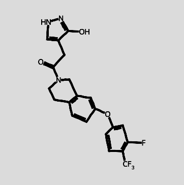 O=C(Cc1c[nH]nc1O)N1CCc2ccc(Oc3ccc(C(F)(F)F)c(F)c3)cc2C1